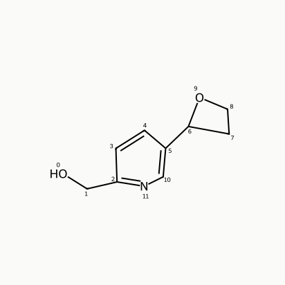 OCc1ccc(C2CCO2)cn1